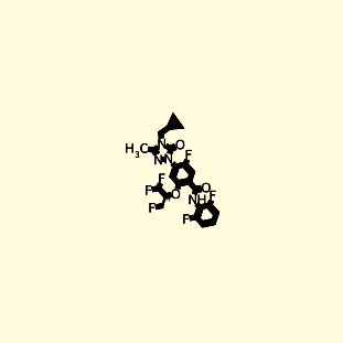 Cc1nn(-c2cc(O[C@@H](CF)C(F)F)c(C(=O)Nc3c(F)cccc3F)cc2F)c(=O)n1CC1CC1